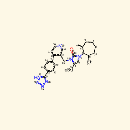 CCCCc1cn(C2C(C)CCCCC2CC)c(=O)n1Cc1cnccc1-c1ccc(-c2nnn[nH]2)cc1